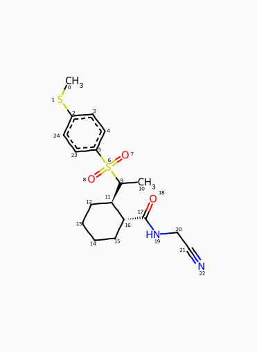 CSc1ccc(S(=O)(=O)C(C)[C@@H]2CCCC[C@H]2C(=O)NCC#N)cc1